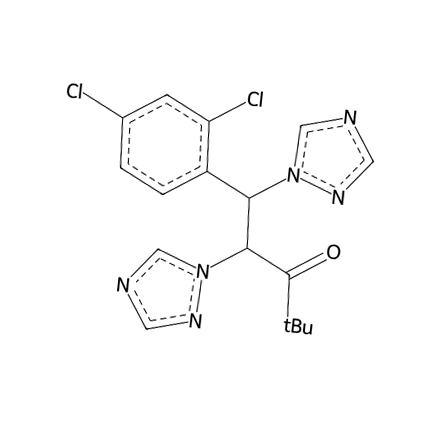 CC(C)(C)C(=O)C(C(c1ccc(Cl)cc1Cl)n1cncn1)n1cncn1